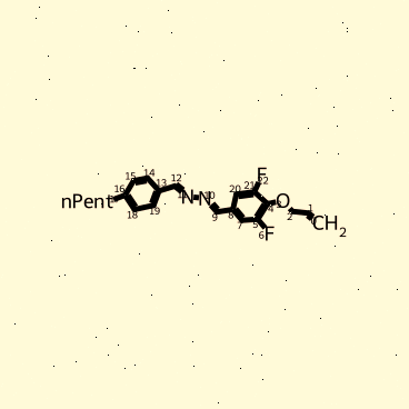 C=CCOc1c(F)cc(/C=N/N=C/c2ccc(CCCCC)cc2)cc1F